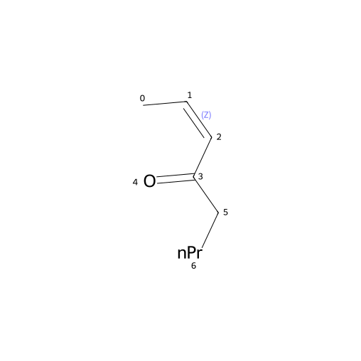 C/C=C\C(=O)CCCC